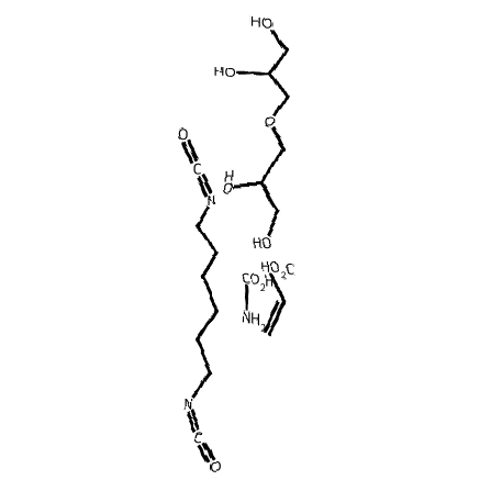 C=CC(=O)O.NC(=O)O.O=C=NCCCCCCN=C=O.OCC(O)COCC(O)CO